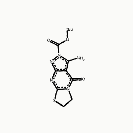 CC(C)(C)OC(=O)n1nc2nc3n(c(=O)c2c1N)CCS3